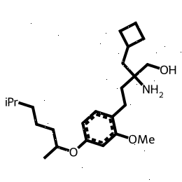 COc1cc(OC(C)CCCC(C)C)ccc1CCC(N)(CO)CC1CCC1